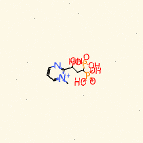 C[n+]1cccnc1C(O)CC(P(=O)(O)O)P(=O)(O)O